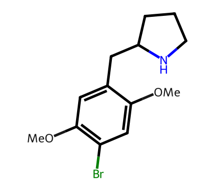 COc1cc(CC2CCCN2)c(OC)cc1Br